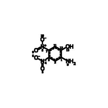 Nc1cc([N+](=O)[O-])c([N+](=O)[O-])cc1O